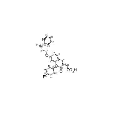 CN(CCOc1ccc(CN(CC(=O)O)C(=O)Oc2ccc(F)cc2)cc1)c1ccccn1